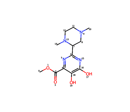 COC(=O)c1nc(C2CN(C)CCN2C)nc(O)c1O